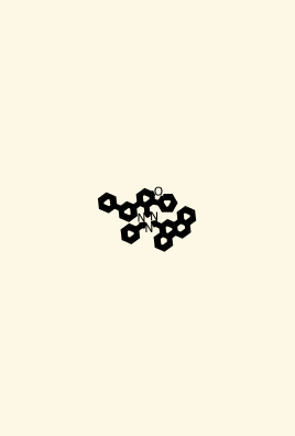 c1ccc(-c2cccc(-c3ccc4oc5ccccc5c4c3-c3nc(-c4ccccc4)nc(-c4cc5c6ccccc6ccc5c5ccccc45)n3)c2)cc1